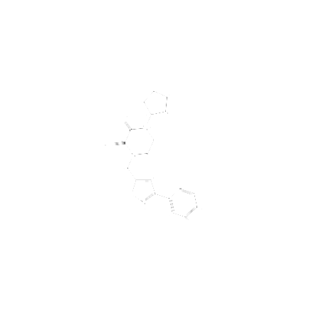 O=C1C(=O)N(C2CCCC2)CCN1Cc1cc(-c2ccccc2)no1